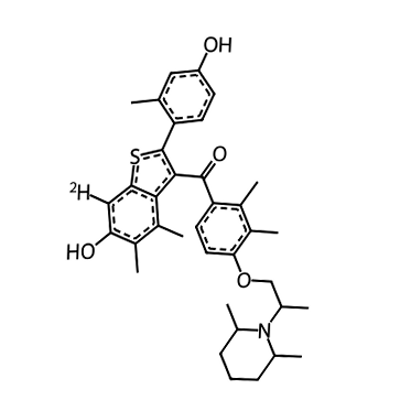 [2H]c1c(O)c(C)c(C)c2c(C(=O)c3ccc(OCC(C)N4C(C)CCCC4C)c(C)c3C)c(-c3ccc(O)cc3C)sc12